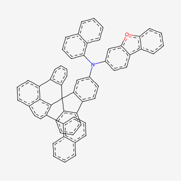 c1ccc2c(c1)-c1ccc(N(c3ccc4c(c3)oc3ccccc34)c3cccc4ccccc34)cc1C21c2ccccc2-c2cccc3ccc(-c4cccc5ccccc45)c1c23